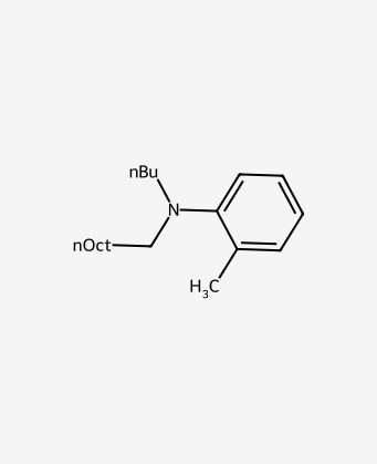 CCCCCCCCCN(CCCC)c1ccccc1C